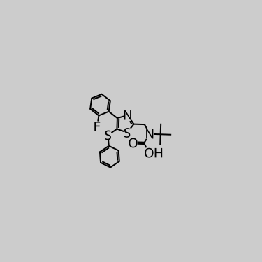 CC(C)(C)N(Cc1nc(-c2ccccc2F)c(Sc2ccccc2)s1)C(=O)O